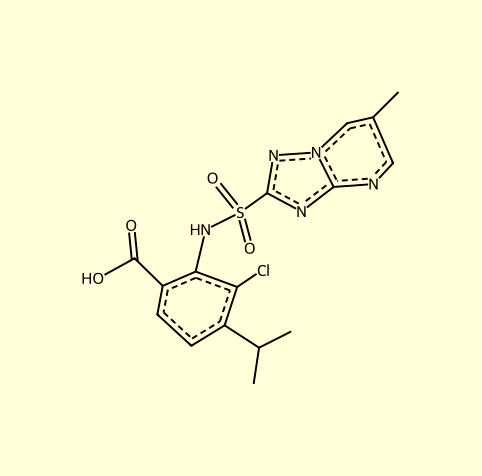 Cc1cnc2nc(S(=O)(=O)Nc3c(C(=O)O)ccc(C(C)C)c3Cl)nn2c1